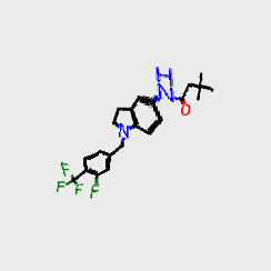 CC(C)(C)CC(=O)Nc1ccc2c(c1)CCN2Cc1ccc(C(F)(F)F)c(F)c1